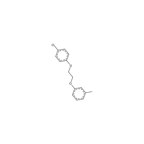 Cc1cccc(OCCOc2ccc(Cl)cc2)c1